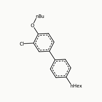 CCCCCCc1ccc(-c2ccc(OCCCC)c(Cl)c2)cc1